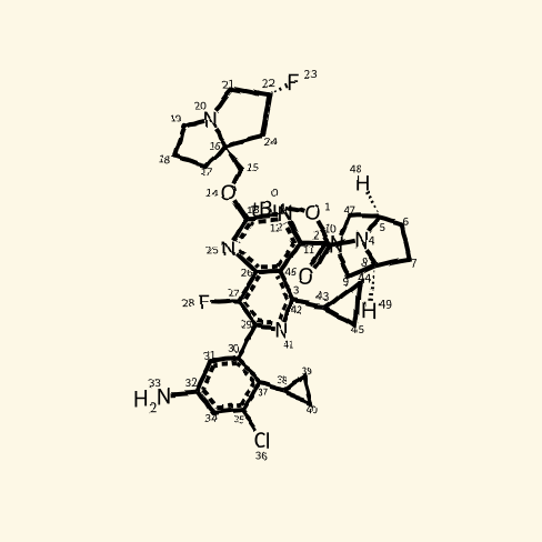 CC(C)(C)OC(=O)N1[C@@H]2CC[C@H]1CN(c1nc(OC[C@@]34CCCN3C[C@H](F)C4)nc3c(F)c(-c4cc(N)cc(Cl)c4C4CC4)nc(C4CC4)c13)C2